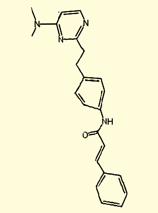 CN(C)c1[c]cnc(CCc2ccc(NC(=O)/C=C/c3ccccc3)cc2)n1